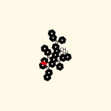 CC1(C)c2cc(N(c3ccccc3)c3ccc4ccccc4c3)ccc2-c2cc3c(N(c4ccccc4)c4ccc5ccccc5c4)c4cc(N(c5ccccc5)c5ccc6ccccc6c5)ccc4c(N(c4ccccc4)c4ccc5ccccc5c4)c3cc21